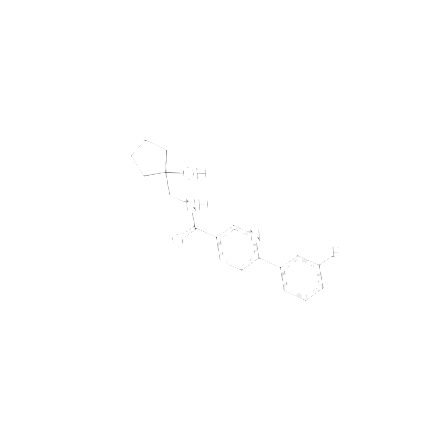 O=C(NCC1(O)CCCC1)c1ccc(-c2cccc(F)c2)nc1